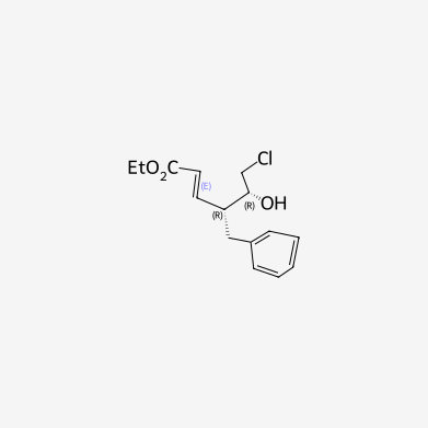 CCOC(=O)/C=C/[C@@H](Cc1ccccc1)[C@@H](O)CCl